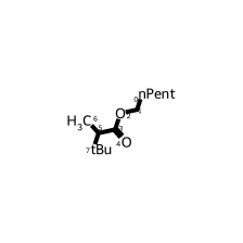 CCCCCCOC(=O)C(C)C(C)(C)C